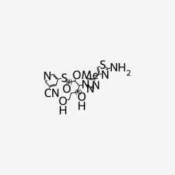 COC1C(n2cc(-c3csc(N)n3)nn2)[C@@H](O)C(CO)O[C@@H]1Sc1cncc(C#N)c1